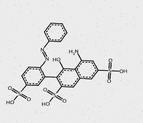 Nc1cc(S(=O)(=O)O)cc2cc(S(=O)(=O)O)c(-c3cc(S(=O)(=O)O)ccc3N=Nc3ccccc3)c(O)c12